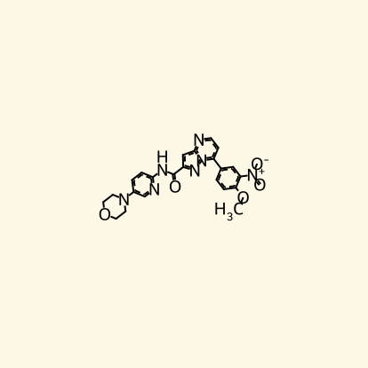 COc1ccc(-c2ccnc3cc(C(=O)Nc4ccc(N5CCOCC5)cn4)nn23)cc1[N+](=O)[O-]